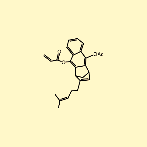 C=CC(=O)Oc1c2c(c(OC(C)=O)c3ccccc13)C1C=C(CCC=C(C)C)C2C1